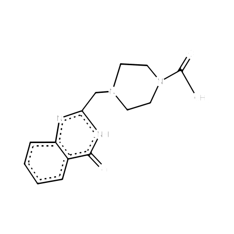 CC(=O)N1CCN(Cc2nc3ccccc3c(=O)[nH]2)CC1